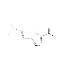 CN(C)C=Nc1cnc(C(=O)O)[nH]1